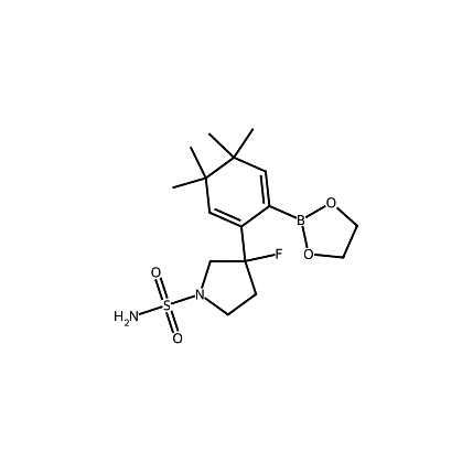 CC1(C)C=C(B2OCCO2)C(C2(F)CCN(S(N)(=O)=O)C2)=CC1(C)C